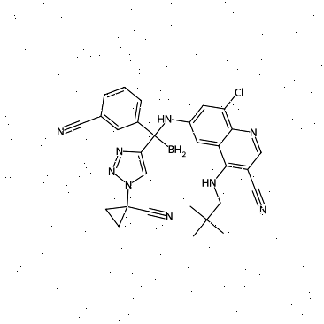 BC(Nc1cc(Cl)c2ncc(C#N)c(NCC(C)(C)C)c2c1)(c1cccc(C#N)c1)c1cn(C2(C#N)CC2)nn1